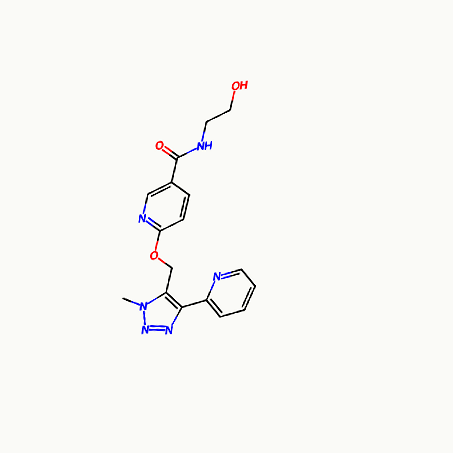 Cn1nnc(-c2ccccn2)c1COc1ccc(C(=O)NCCO)cn1